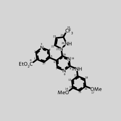 CCOC(=O)c1cncc(-c2cnc(Nc3cc(OC)cc(OC)c3)nc2N2C=CC(C(F)(F)F)N2)c1